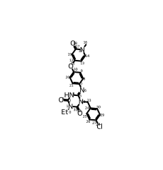 CCn1c(=O)[nH]/c(=N\c2ccc(Oc3ccn(C)c(=O)c3)cc2)n(Cc2ccc(Cl)cc2)c1=O